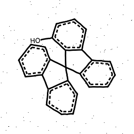 Oc1cccc2c1C1(c3ccccc3-c3ccccc31)c1ccccc1-2